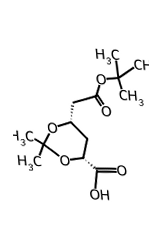 CC(C)(C)OC(=O)C[C@@H]1C[C@H](C(=O)O)OC(C)(C)O1